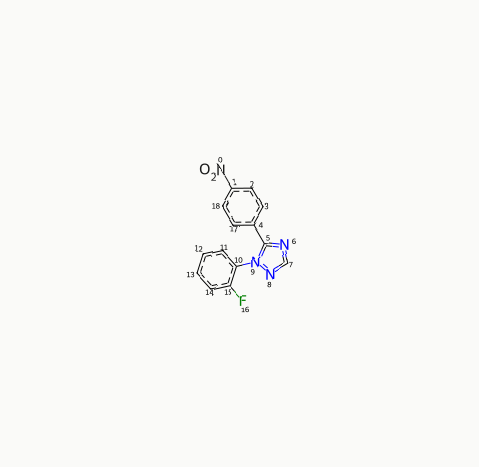 O=[N+]([O-])c1ccc(-c2ncnn2-c2ccccc2F)cc1